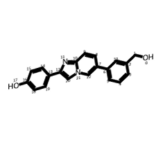 OCc1cccc(-c2ccc3nc(-c4ccc(O)cc4)cn3c2)c1